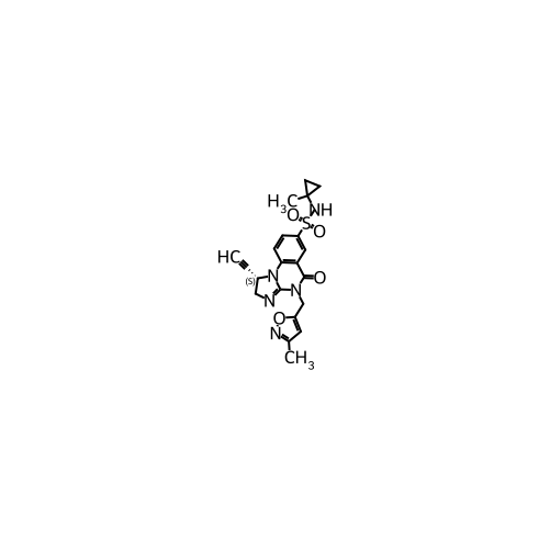 C#C[C@H]1CN=C2N(Cc3cc(C)no3)C(=O)c3cc(S(=O)(=O)NC4(C)CC4)ccc3N21